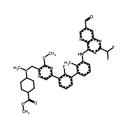 COC(=O)C1CCC(N(C)Cc2ncc(-c3cccc(-c4cccc(Nc5nc(C(F)F)nc6cc(C=O)cnc56)c4C)c3F)nc2OC)CC1